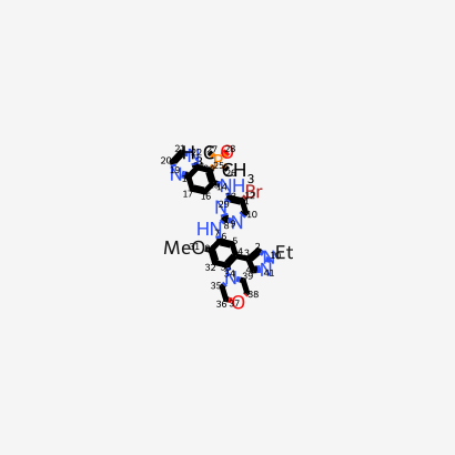 CCn1cc(-c2cc(Nc3ncc(Br)c(Nc4ccc5nccnc5c4P(C)(C)=O)n3)c(OC)cc2N2CCOCC2)cn1